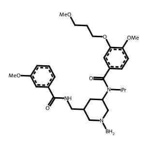 BN1CC(CNC(=O)c2cccc(OC)c2)CC(N(C(=O)c2ccc(OC)c(OCCCOC)c2)C(C)C)C1